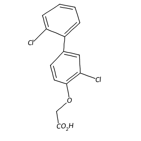 O=C(O)COc1ccc(-c2ccccc2Cl)cc1Cl